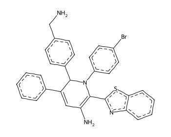 NCc1ccc(C2C(c3ccccc3)=CC(N)=C(c3nc4ccccc4s3)N2c2ccc(Br)cc2)cc1